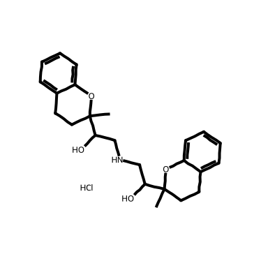 CC1(C(O)CNCC(O)C2(C)CCc3ccccc3O2)CCc2ccccc2O1.Cl